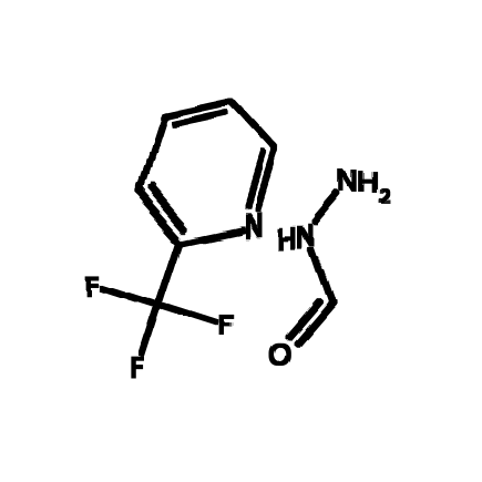 FC(F)(F)c1ccccn1.NNC=O